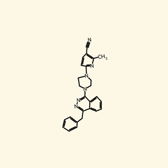 Cc1nc(N2CCN(c3nnc(Cc4ccccc4)c4ccccc34)CC2)ccc1C#N